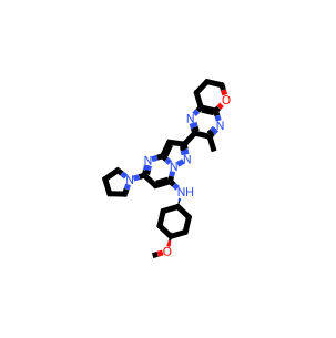 CO[C@H]1CC[C@H](Nc2cc(N3CCCC3)nc3cc(-c4nc5c(nc4C)OCCC5)nn23)CC1